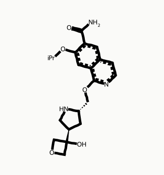 CC(C)Oc1cc2c(OC[C@@H]3C[C@@H](C4(O)COC4)CN3)nccc2cc1C(N)=O